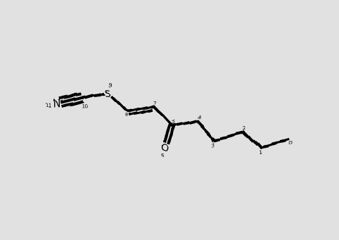 CCCCCC(=O)C=CSC#N